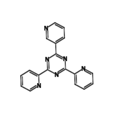 c1ccc(-c2nc(-c3cccnc3)nc(-c3ccccn3)n2)nc1